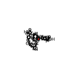 O=C1CCC(c2ccc(OCC(=O)N3CCN(c4ccncc4C4CN(C(=O)[C@@H]5CC[C@@H]6C[C@H]7C[C@H]7C[C@H](NC(=O)c7cc8cc(C(F)(F)P(=O)(O)O)ccc8s7)C(=O)N65)C4)CC3)cc2)C(=O)N1